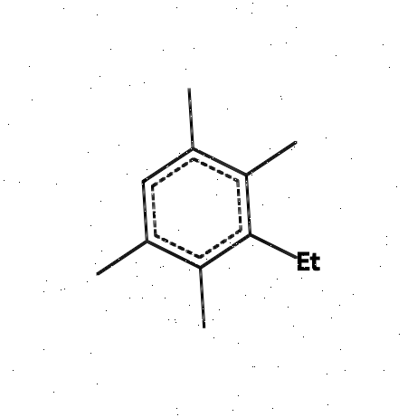 [CH2]Cc1c(C)c(C)cc(C)c1C